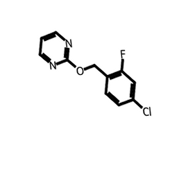 Fc1cc(Cl)ccc1COc1ncccn1